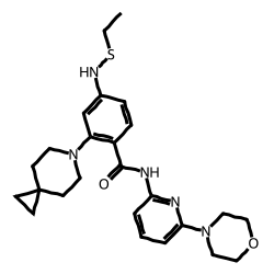 CCSNc1ccc(C(=O)Nc2cccc(N3CCOCC3)n2)c(N2CCC3(CC2)CC3)c1